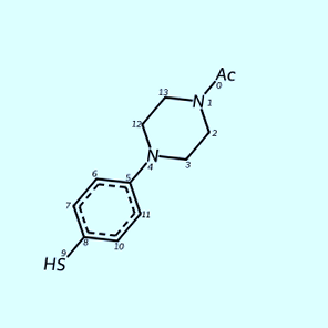 CC(=O)N1CCN(c2ccc(S)cc2)CC1